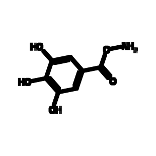 NOC(=O)c1cc(O)c(O)c(O)c1